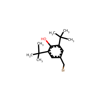 CC(C)(C)c1cc(CBr)cc(C(C)(C)C)c1O